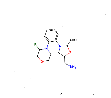 NCC1CN(c2ccccc2N2CCOCC2F)C(C=O)O1